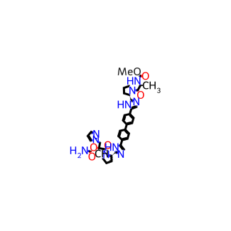 COC(=O)N[C@@H](C)C(=O)N1CCC[C@H]1c1ncc(-c2ccc(-c3ccc(-c4cnc([C@@H]5CCCN5C(=O)[C@](C)(Cn5cccn5)OC(N)=O)[nH]4)cc3)cc2)[nH]1